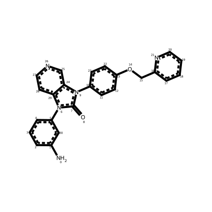 Nc1cccc(-n2c(=O)n(-c3ccc(OCc4ccccn4)cc3)c3cnccc32)c1